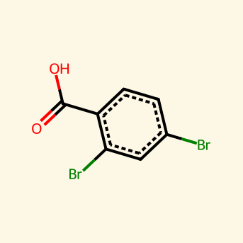 O=C(O)c1ccc(Br)cc1Br